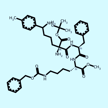 COC(=O)[C@H](CCCCNC(=O)OCc1ccccc1)NC(=O)[C@H](Cc1ccccc1)NC(=O)[C@](N)(CCCC(N)c1ccc(C)cc1)C(=O)OC(C)(C)C